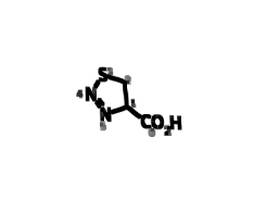 O=C(O)C1CSN=N1